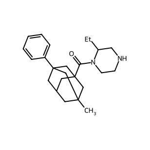 CCC1CNCCN1C(=O)C12CC3CC(C)(C1)CC(c1ccccc1)(C3)C2